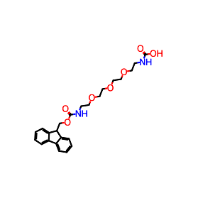 O=C(O)NCCOCCOCCOCCNC(=O)OCC1c2ccccc2-c2ccccc21